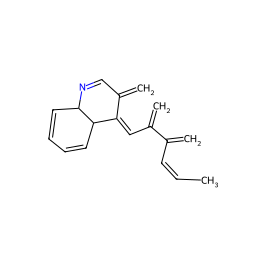 C=C(/C=C\C)C(=C)/C=C1\C(=C)C=NC2C=CC=CC12